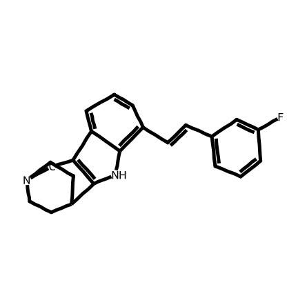 Fc1cccc(C=Cc2cccc3c4c([nH]c23)C2CCN(CC2)C4)c1